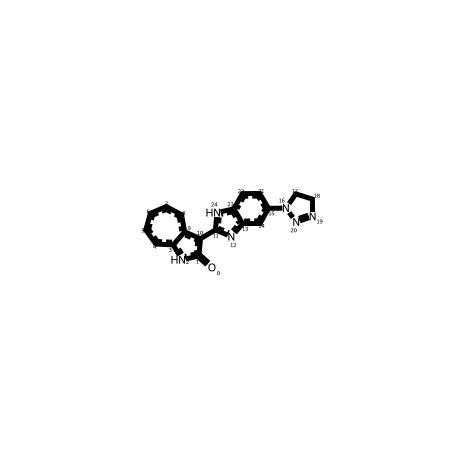 O=c1[nH]c2cccccc-2c1-c1nc2cc(N3CCN=N3)ccc2[nH]1